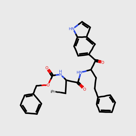 CC(C)CC(NC(=O)OCc1ccccc1)C(=O)NC(CCc1ccccc1)C(=O)c1ccc2[nH]ccc2c1